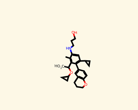 Cc1c(NCCCO)cc(C2CC2)c(-c2ccc3c(c2)CCCO3)c1C(OC1CC1)C(=O)O